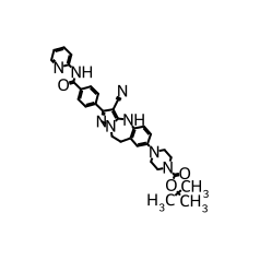 CC(C)(C)OC(=O)N1CCN(c2ccc3c(c2)CCn2nc(-c4ccc(C(=O)Nc5ccccn5)cc4)c(C#N)c2N3)CC1